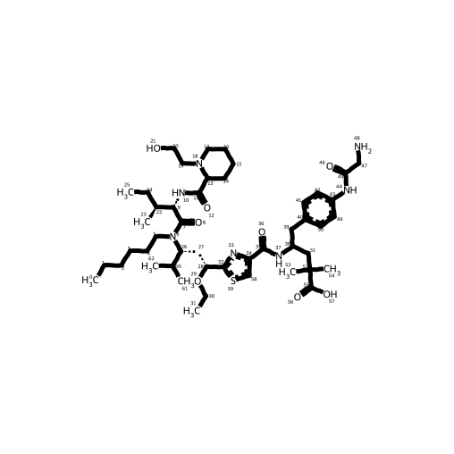 CCCCCCN(C(=O)[C@@H](NC(=O)C1CCCCN1CCO)[C@@H](C)CC)[C@H](C[C@@H](OCC)c1nc(C(=O)NC(Cc2ccc(NC(=O)CN)cc2)CC(C)(C)C(=O)O)cs1)C(C)C